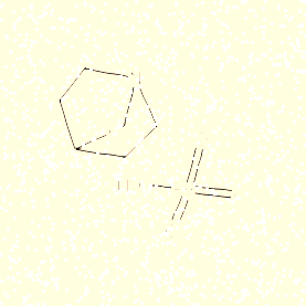 C1CN2CCC1CC2.[CH3][Re](=[O])(=[O])=[O]